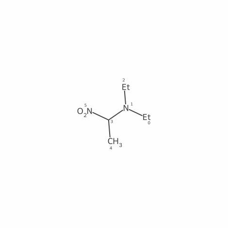 CCN(CC)C(C)[N+](=O)[O-]